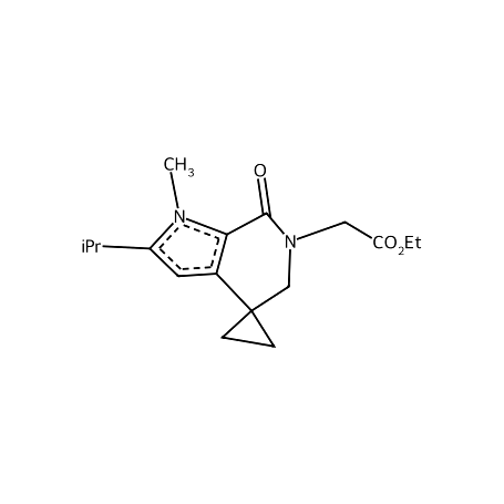 CCOC(=O)CN1CC2(CC2)c2cc(C(C)C)n(C)c2C1=O